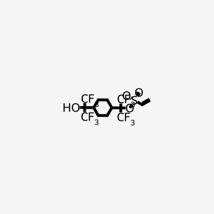 C=CS(=O)(=O)OC(C1CCC(C(O)(C(F)(F)F)C(F)(F)F)CC1)(C(F)(F)F)C(F)(F)F